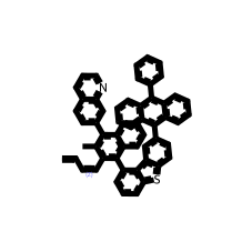 C=C/C=C\c1c(C)c(-c2ccc3cccnc3c2)c2ccccc2c1-c1cccc2sc3ccc(-c4c5ccccc5c(-c5ccccc5)c5ccccc45)cc3c12